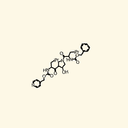 CC(C)CC(NC(=O)OCc1ccncc1)C(=O)C1CN(C(=O)C(CC(C)C)NC(=O)OCc2ccccc2)CC1O